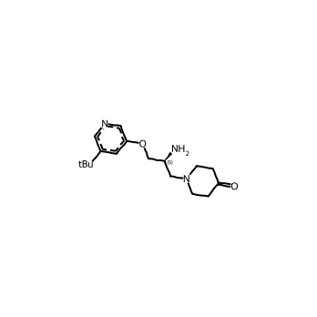 CC(C)(C)c1cncc(OC[C@@H](N)CN2CCC(=O)CC2)c1